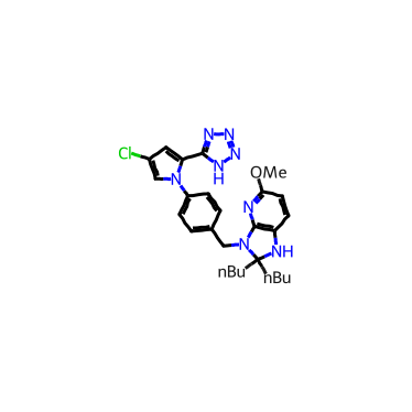 CCCCC1(CCCC)Nc2ccc(OC)nc2N1Cc1ccc(-n2cc(Cl)cc2-c2nnn[nH]2)cc1